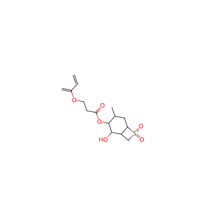 C=CC(=C)OCCC(=O)OC1C(C)CC2C(CS2(=O)=O)C1O